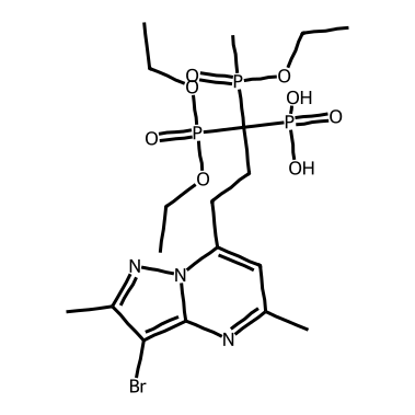 CCOP(C)(=O)C(CCc1cc(C)nc2c(Br)c(C)nn12)(P(=O)(O)O)P(=O)(OCC)OCC